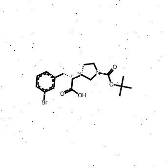 CC(C)(C)OC(=O)N1CC[C@@H]([C@@H](Cc2cccc(Br)c2)C(=O)O)C1